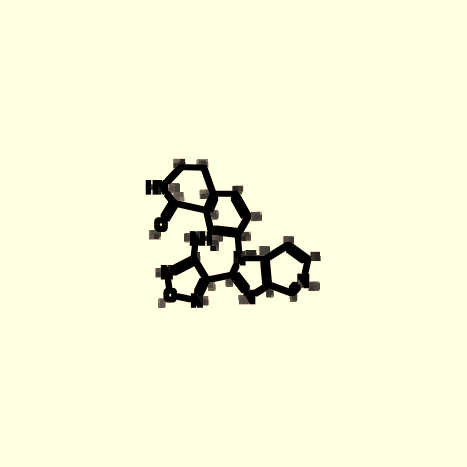 Nc1nonc1-c1nc2cnccc2n1-c1ccc2c(c1)C(=O)NCC2